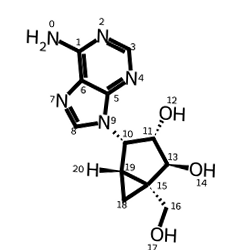 Nc1ncnc2c1ncn2[C@@H]1[C@H](O)[C@@H](O)[C@@]2(CO)C[C@H]12